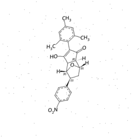 Cc1cc(C)c(C2=C(O)C3[C@@H](C2=O)[C@@H]2C[C@@H](c4ccc([N+](=O)[O-])cc4)[C@H]3O2)c(C)c1